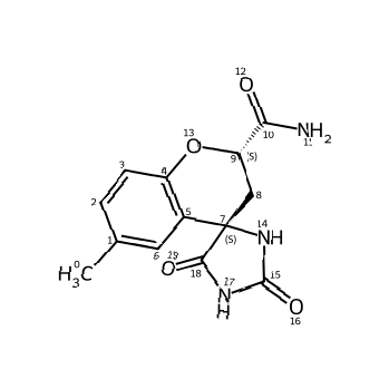 Cc1ccc2c(c1)[C@]1(C[C@@H](C(N)=O)O2)NC(=O)NC1=O